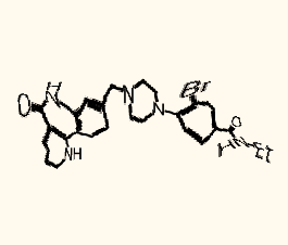 CCNC(=O)c1ccc(N2CCN(Cc3ccc4c5c(c(=O)[nH]c4c3)CCCN5)CC2)c(Br)c1